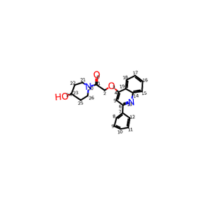 O=C(COc1cc(-c2ccccc2)nc2ccccc12)N1CCC(O)CC1